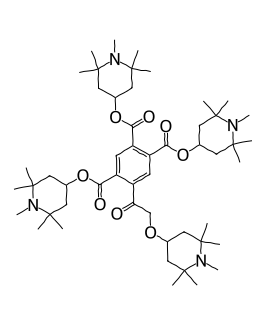 CN1C(C)(C)CC(OCC(=O)c2cc(C(=O)OC3CC(C)(C)N(C)C(C)(C)C3)c(C(=O)OC3CC(C)(C)N(C)C(C)(C)C3)cc2C(=O)OC2CC(C)(C)N(C)C(C)(C)C2)CC1(C)C